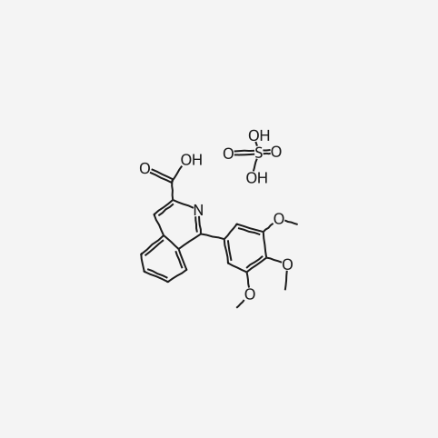 COc1cc(-c2nc(C(=O)O)cc3ccccc23)cc(OC)c1OC.O=S(=O)(O)O